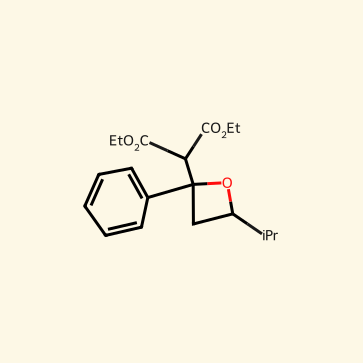 CCOC(=O)C(C(=O)OCC)C1(c2ccccc2)CC(C(C)C)O1